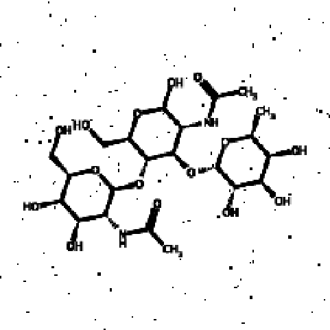 CC(=O)N[C@H]1[C@H](O[C@H]2[C@H](O[C@@H]3O[C@@H](C)[C@@H](O)[C@@H](O)[C@@H]3O)[C@@H](NC(C)=O)C(O)O[C@@H]2CO)O[C@H](CO)[C@H](O)[C@@H]1O